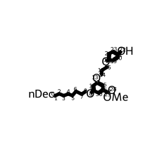 CCCCCCCCCCCCCCCCCCOc1cc(OCCCOc2ccc(O)cc2)cc(C(=O)OC)c1